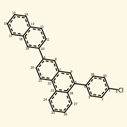 Clc1ccc(-c2cc3cc(-c4ccc5ccccc5c4)ccc3c3ccccc23)cc1